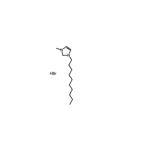 Br.CCCCCCCCCCN1C=CN(C)C1